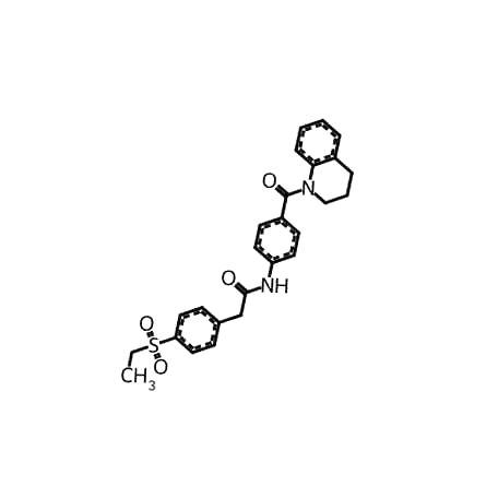 CCS(=O)(=O)c1ccc(CC(=O)Nc2ccc(C(=O)N3CCCc4ccccc43)cc2)cc1